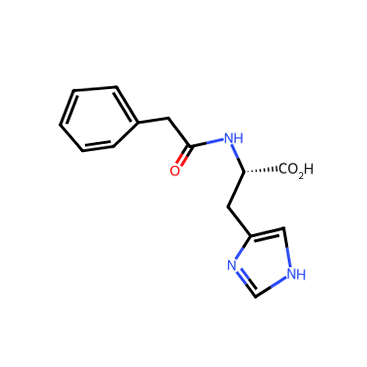 O=C(Cc1ccccc1)N[C@@H](Cc1c[nH]cn1)C(=O)O